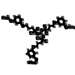 CCCCCCOc1cccc(OCCCC(Cl)(Cl)OP(OC(Cl)(Cl)CCCOc2cccc(OCCCCCC)c2)OC(Cl)(Cl)CCCOc2cccc(OCCCCCC)c2)c1